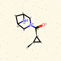 C[C@@H]1C[C@@H]1C(=O)N1CC2CC(C1)N2